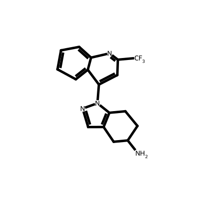 NC1CCc2c(cnn2-c2cc(C(F)(F)F)nc3ccccc23)C1